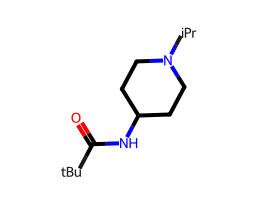 CC(C)N1CCC(NC(=O)C(C)(C)C)CC1